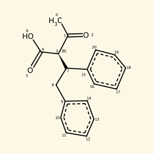 CC(=O)[C@H](C(=O)O)C(Cc1ccccc1)c1ccccc1